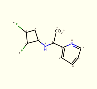 O=C(O)C(NC1CC(F)C1F)c1ccccn1